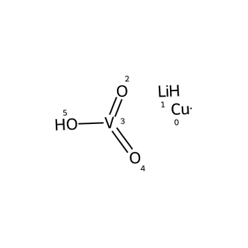 [Cu].[LiH].[O]=[V](=[O])[OH]